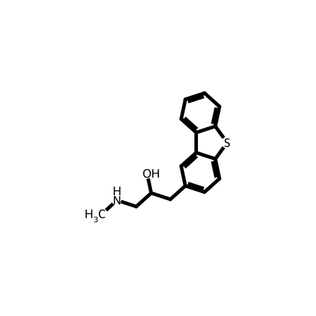 CNCC(O)Cc1ccc2sc3ccccc3c2c1